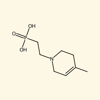 CC1=CCN(CCP(=O)(O)O)CC1